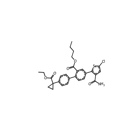 CCCCOC(=O)c1cc(-c2sc(Cl)cc2C(N)=O)ccc1-c1ccc(C2(C(=O)OCC)CC2)cc1